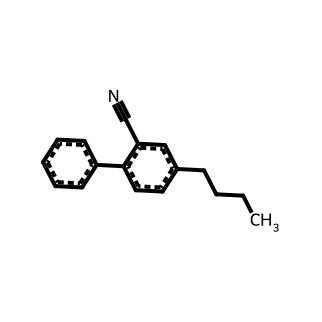 CCCCc1ccc(-c2ccccc2)c(C#N)c1